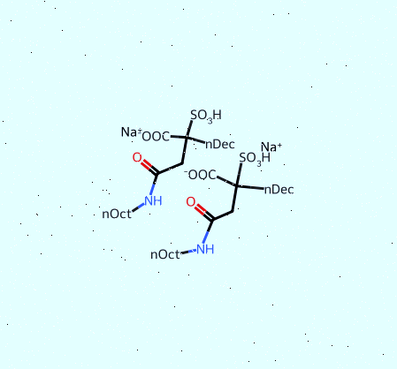 CCCCCCCCCCC(CC(=O)NCCCCCCCC)(C(=O)[O-])S(=O)(=O)O.CCCCCCCCCCC(CC(=O)NCCCCCCCC)(C(=O)[O-])S(=O)(=O)O.[Na+].[Na+]